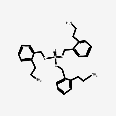 NCCc1ccccc1COP(=O)(OCc1ccccc1CCN)OCc1ccccc1CCN